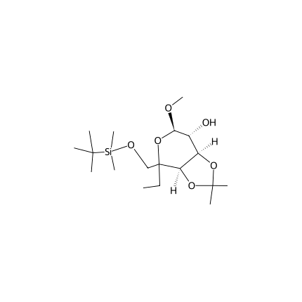 CCC1(CO[Si](C)(C)C(C)(C)C)O[C@@H](OC)[C@H](O)[C@H]2OC(C)(C)O[C@H]21